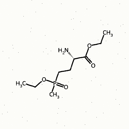 CCOC(=O)[C@@H](N)CCP(C)(=O)OCC